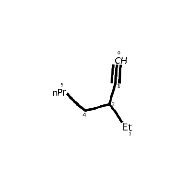 C#CC(CC)CCC[CH2]